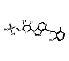 Cc1cccc(O)c1CNc1ncnc2c1ncn2[C@@H]1O[C@H](COP(=O)(O)O)[C@@H](O)[C@H]1O